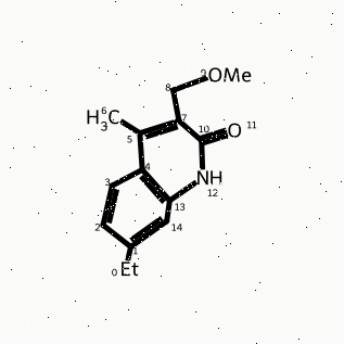 CCc1ccc2c(C)c(COC)c(=O)[nH]c2c1